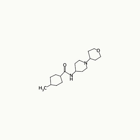 CC1CCC(C(=O)NC2CCN(C3CCOCC3)CC2)CC1